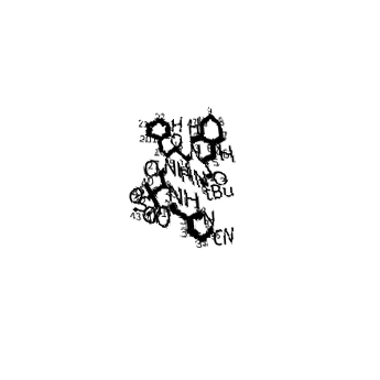 CC(C)(C)NC(=O)[C@@H]1C[C@@H]2CCCC[C@@H]2CN1C[C@@H](O)[C@H](Cc1ccccc1)NC(=O)[C@@H](NC(=O)c1ccc(C#N)nc1)C(C)(C)S(C)(=O)=O